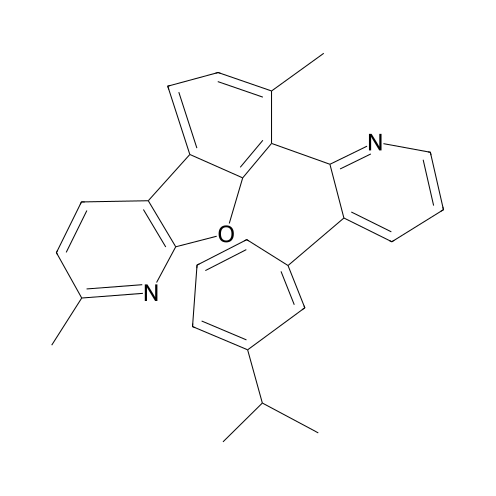 Cc1ccc2c(n1)oc1c(-c3ncccc3-c3cccc(C(C)C)c3)c(C)ccc12